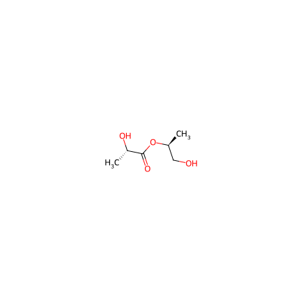 C[C@H](O)C(=O)O[C@@H](C)CO